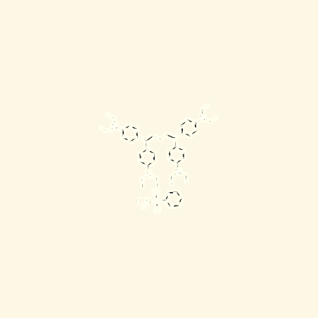 CCN(CC)c1ccc(C(=CCC=C(c2ccc(N(CC)CC)cc2)c2ccc(N(CC)CC)cc2)c2ccc(N(CC)CC)cc2)cc1.NS(=O)(=O)c1ccccc1